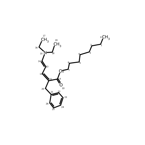 CCCCCCCCOC(=O)C(=CC=CN(CC)CC)Cc1ccccc1